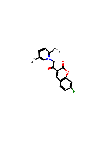 Cc1ccc(C)[n+](CC(=O)c2cc3ccc(F)cc3oc2=O)c1